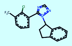 FC(F)(F)c1cccc(-c2ncnn2C2CCc3ccccc32)c1Cl